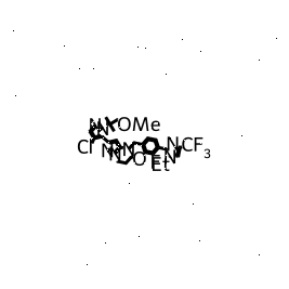 CCn1cc(C(F)(F)F)nc1-c1ccc(CN2C(=O)CCn3nc(-c4c(Cl)cnn4C(C)(C)COC)cc32)cc1F